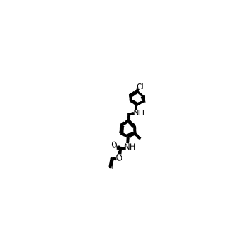 CCOC(=O)Nc1ccc(CNc2ccc(Cl)cc2)cc1C